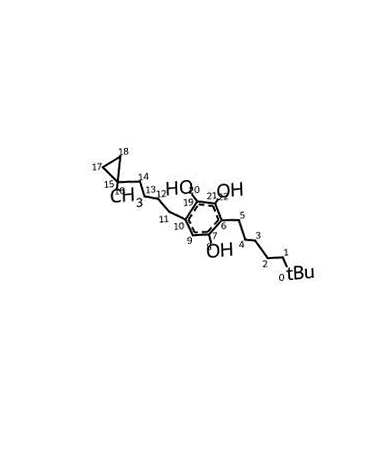 CC(C)(C)CCCCCc1c(O)cc(CCCCC2(C)CC2)c(O)c1O